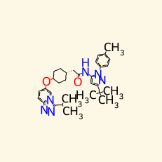 Cc1ccc(-n2nc(C(C)(C)C)cc2NC(=O)C[C@H]2CC[C@H](Oc3ccc4nnc(C(C)C)n4c3)CC2)cc1